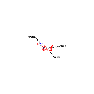 CCCCC/C=C/CCCC(=O)NCCOP(=O)(O)OCC(COC(=O)CCCCCCCCCCCCCCC)OC(=O)CCCCCCCCCCCCCCC